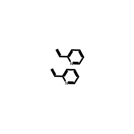 C=Cc1ccccn1.C=Cc1ccccn1